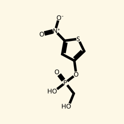 O=[N+]([O-])c1cc(OP(=O)(O)CO)cs1